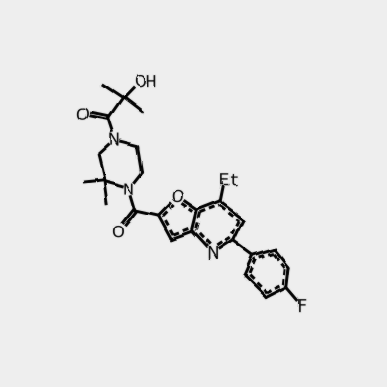 CCc1cc(-c2ccc(F)cc2)nc2cc(C(=O)N3CCN(C(=O)C(C)(C)O)CC3(C)C)oc12